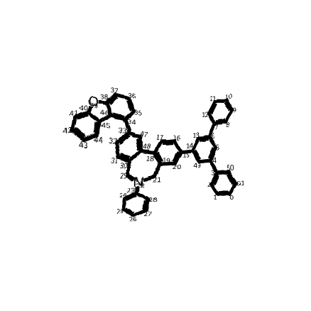 c1ccc(-c2cc(-c3ccccc3)cc(-c3ccc4c(c3)CN(c3ccccc3)Cc3ccc(-c5cccc6oc7ccccc7c56)cc3-4)c2)cc1